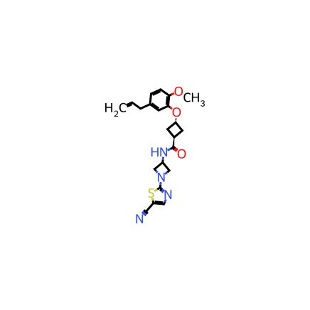 C=CCc1ccc(OC)c(O[C@H]2C[C@H](C(=O)NC3CN(c4ncc(C#N)s4)C3)C2)c1